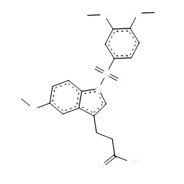 COc1ccc2c(c1)c(CCC(=O)O)cn2S(=O)(=O)c1ccc(OC)c(OC)c1